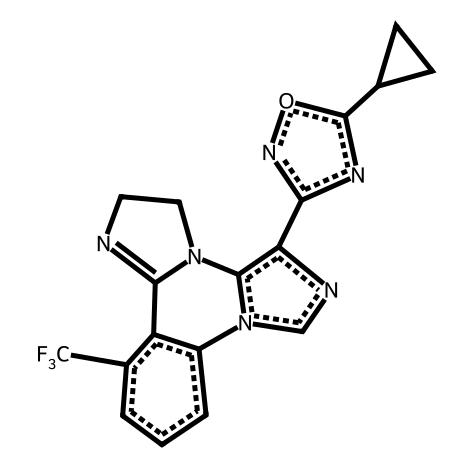 FC(F)(F)c1cccc2c1C1=NCCN1c1c(-c3noc(C4CC4)n3)ncn1-2